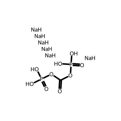 O=C(OP(=O)(O)O)OP(=O)(O)O.[NaH].[NaH].[NaH].[NaH].[NaH].[NaH]